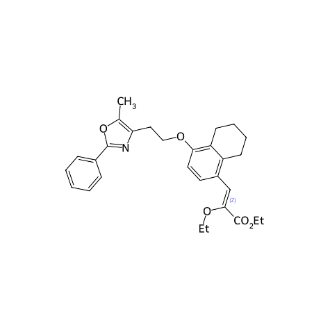 CCOC(=O)/C(=C/c1ccc(OCCc2nc(-c3ccccc3)oc2C)c2c1CCCC2)OCC